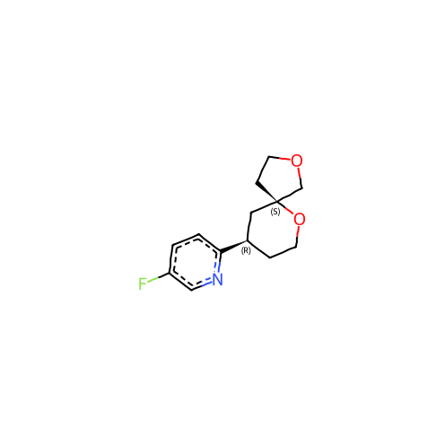 Fc1ccc([C@@H]2CCO[C@]3(CCOC3)C2)nc1